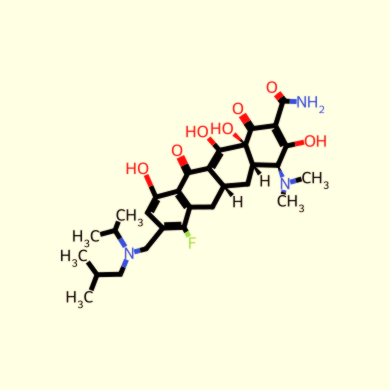 CC(C)CN(Cc1cc(O)c2c(c1F)C[C@H]1C[C@H]3[C@H](N(C)C)C(O)=C(C(N)=O)C(=O)[C@@]3(O)C(O)=C1C2=O)C(C)C